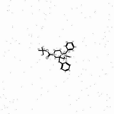 CNCC1(Cc2ccccc2)CN(C(=O)OC(C)(C)C)CCN1Cc1ccccc1